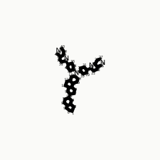 c1ccc2cc(-c3ccc4c(ccc5cc(N(c6ccc(-c7ccc8cnccc8n7)cc6)c6ccc(-c7ccc8cnccc8n7)cc6)ccc54)c3)ccc2c1